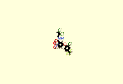 O=C(NCC(Cl)=CCl)c1cc(Oc2ccc(C(F)(F)F)cc2Cl)ccc1[N+](=O)[O-]